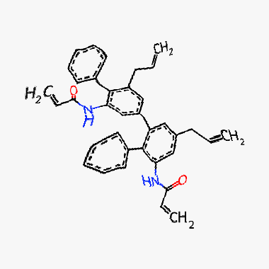 C=CCc1cc(NC(=O)C=C)c(-c2ccccc2)c(-c2cc(CC=C)c(-c3ccccc3)c(NC(=O)C=C)c2)c1